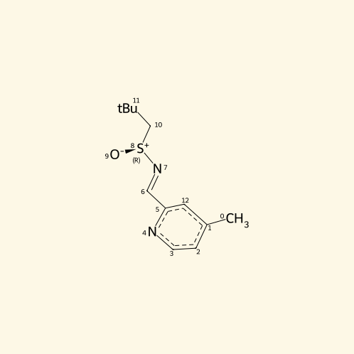 Cc1ccnc(C=N[S@@+]([O-])CC(C)(C)C)c1